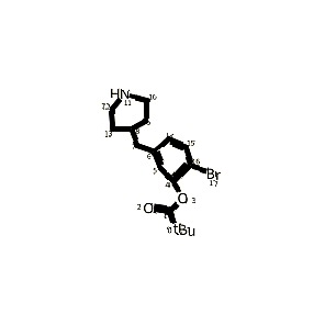 CC(C)(C)C(=O)Oc1cc(CC2CCNCC2)ccc1Br